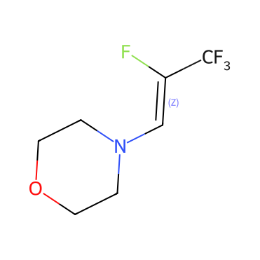 F/C(=C\N1CCOCC1)C(F)(F)F